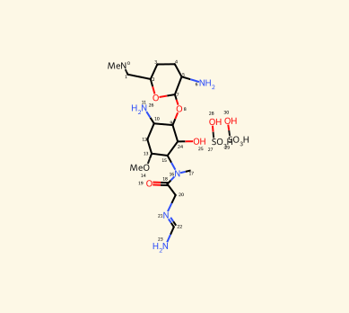 CNCC1CCC(N)C(OC2C(N)CC(OC)C(N(C)C(=O)CN=CN)C2O)O1.O=S(=O)(O)O.O=S(=O)(O)O